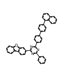 c1ccc(-c2nc(-c3ccc(-c4ccc(-c5cccc6ccccc56)cc4)cc3)nc(-c3ccc4c(c3)oc3ccccc34)n2)cc1